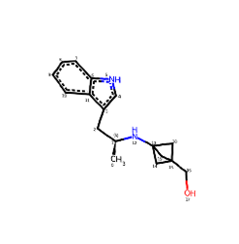 C[C@@H](Cc1c[nH]c2ccccc12)NC12CC(CO)(C1)C2